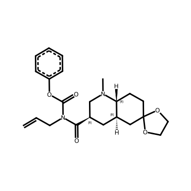 C=CCN(C(=O)Oc1ccccc1)C(=O)[C@@H]1C[C@@H]2CC3(CC[C@H]2N(C)C1)OCCO3